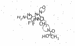 Cc1c(CC2CCCCN(C(=O)[C@H](C)O)CC2)cc2c(N3CCOCC3)nc(-c3cnc(N)cc3C(F)(F)F)nn12